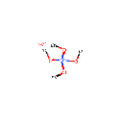 CCO[N+](OCC)(OCC)OCC.[OH-]